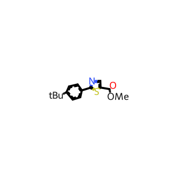 COC(=O)c1cnc(-c2ccc(C(C)(C)C)cc2)s1